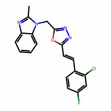 Cc1nc2ccccc2n1Cc1nnc(/C=C/c2ccc(F)cc2Cl)o1